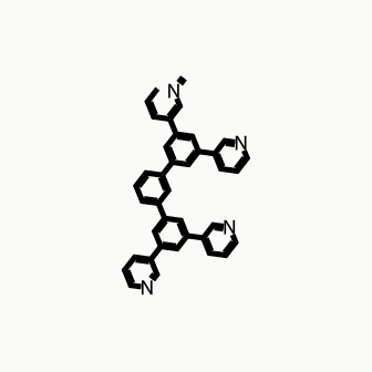 C=N/C=C(\C=C/C)c1cc(-c2cccnc2)cc(-c2cccc(-c3cc(-c4cccnc4)cc(-c4cccnc4)c3)c2)c1